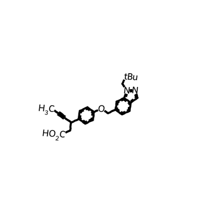 CC#CC(CC(=O)O)c1ccc(OCc2ccc3cnn(CC(C)(C)C)c3c2)cc1